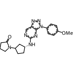 COc1ccc(-n2nnc3cnc(N[C@@H]4CCC(N5CCCC5=O)C4)nc32)cc1